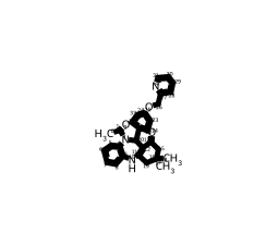 CC(=O)N1c2ccccc2NC2=C(C(=O)CC(C)(C)C2)C1c1ccc(OCc2ccccn2)cc1